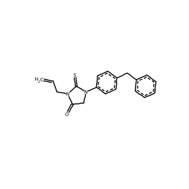 C=CCN1C(=O)CN(c2ccc(Cc3ccccc3)cc2)C1=S